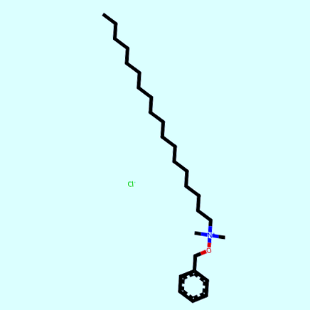 CCCCCCCCCCCCCCCCCC[N+](C)(C)OCc1ccccc1.[Cl-]